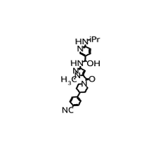 CC(C)Nc1ccc(C(O)Nc2cc(C(=O)N3CCC(c4ccc(C#N)cc4)CC3)n(C)n2)cn1